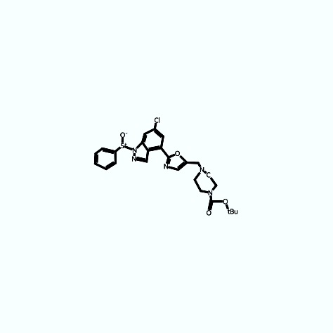 CC(C)(C)OC(=O)N1CCN(Cc2cnc(-c3cc(Cl)cc4c3cnn4[S+]([O-])c3ccccc3)o2)CC1